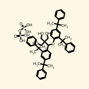 CC(C)(c1ccccc1)c1ccc(OC(c2ccc(C(C)(C)c3ccccc3)cc2C(C)(C)c2ccccc2)C(CO)(CO)CO)c(C(C)(C)c2ccccc2)c1.O=P(O)(O)OP(=O)(O)O